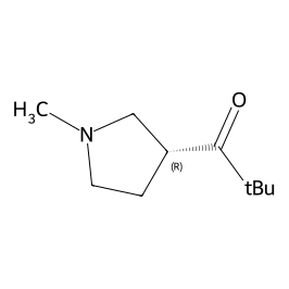 CN1CC[C@@H](C(=O)C(C)(C)C)C1